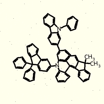 CC1(C)c2ccccc2-c2c(-c3ccccc3N(c3cccc(-c4ccc5c6ccccc6n(-c6ccccc6)c5c4)c3)c3ccc4c(c3)-c3ccccc3C4(c3ccccc3)c3ccccc3)cccc21